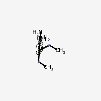 CCCCCCCC/C=C\CCCCCCCC(=O)OC[C@@H](COC(=O)CCC(=O)OCCNC(=O)C(N)CCCCN)OC(=O)CCCCCCC/C=C\CCCCCCCC